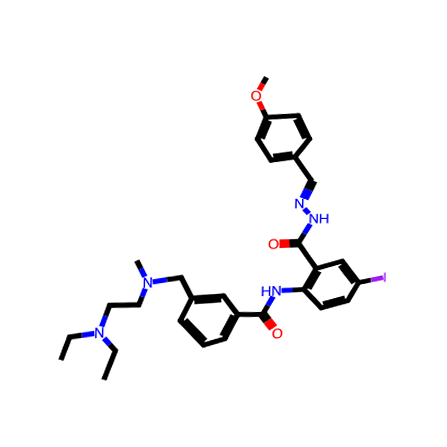 CCN(CC)CCN(C)Cc1cccc(C(=O)Nc2ccc(I)cc2C(=O)N/N=C/c2ccc(OC)cc2)c1